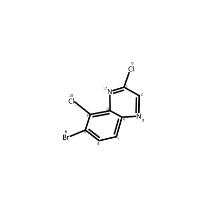 Clc1cnc2ccc(Br)c(Cl)c2n1